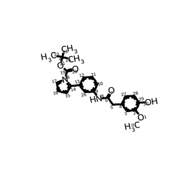 COc1cc(CC(=O)Nc2cccc(-c3cccn3C(=O)OC(C)(C)C)c2)ccc1O